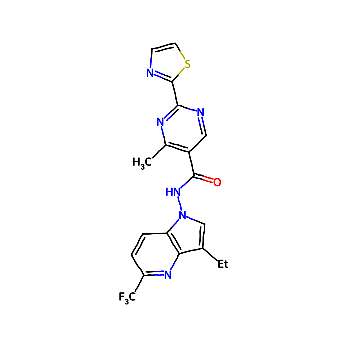 CCc1cn(NC(=O)c2cnc(-c3nccs3)nc2C)c2ccc(C(F)(F)F)nc12